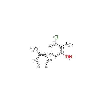 Cc1c(O)cccc1Cl.Cc1ccccc1